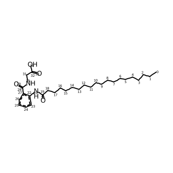 CCCCCCCCCCCCCCCCCCCC(=O)Nc1ccccc1C(=O)NCC(=O)O